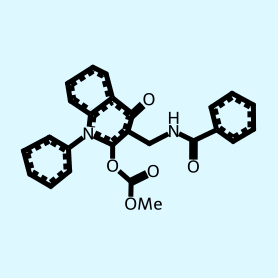 COC(=O)Oc1c(CNC(=O)c2ccccc2)c(=O)c2ccccc2n1-c1ccccc1